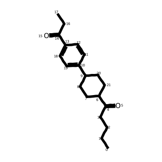 CCCCC(=O)C1CCC(c2ccc(C(=O)CC)cc2)CC1